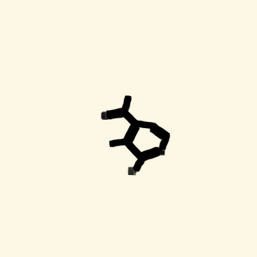 CC(=O)c1ccnc(Br)c1C